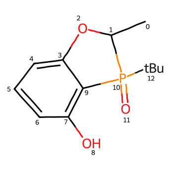 CC1Oc2cccc(O)c2P1(=O)C(C)(C)C